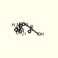 Cc1cccc(C)c1N(C)C(=O)CN1Cc2cc(OCCCC(=O)N(CCCCCCO)c3ccccc3)ccc2N=C1N